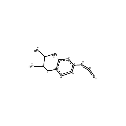 CCCC(CCC)C(CCC)Cc1ccc(N=C=S)cc1